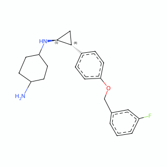 NC1CCC(N[C@H]2C[C@@H]2c2ccc(OCc3cccc(F)c3)cc2)CC1